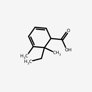 CCC1(C)C(C)=CC=CC1C(=O)O